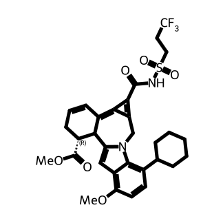 COC(=O)[C@@H]1CC=CC2=C3C(=C3C(=O)NS(=O)(=O)CCC(F)(F)F)Cn3c(cc4c(OC)ccc(C5CCCCC5)c43)C21